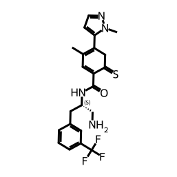 CC1=C(c2ccnn2C)CC(=S)C(C(=O)N[C@H](CN)Cc2cccc(C(F)(F)F)c2)=C1